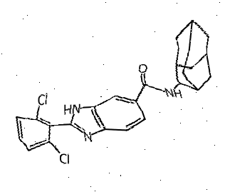 O=C(NC1C2CC3CC(C2)CC1C3)c1ccc2nc(-c3c(Cl)cccc3Cl)[nH]c2c1